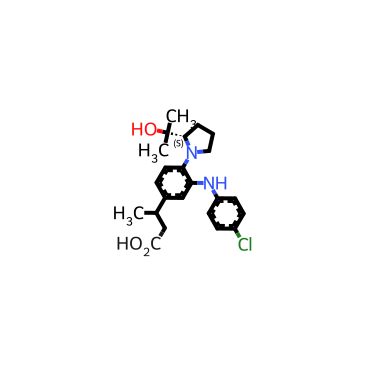 CC(CC(=O)O)c1ccc(N2CCC[C@H]2C(C)(C)O)c(Nc2ccc(Cl)cc2)c1